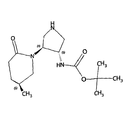 C[C@H]1CCC(=O)N([C@H]2CNC[C@@H]2NC(=O)OC(C)(C)C)C1